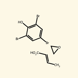 C1CO1.CC=CC(=O)O.Oc1c(Br)cc(Br)cc1Br